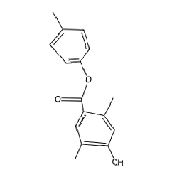 Cc1ccc(OC(=O)c2cc(C)c(O)cc2C)cc1